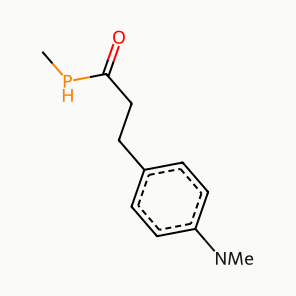 CNc1ccc(CCC(=O)PC)cc1